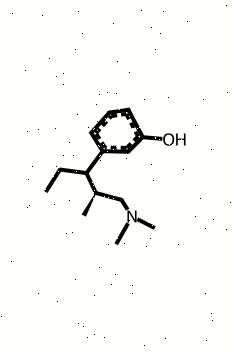 CCC(c1cccc(O)c1)[C@H](C)CN(C)C